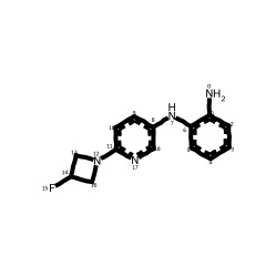 Nc1ccccc1Nc1ccc(N2CC(F)C2)nc1